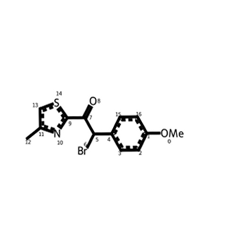 COc1ccc(C(Br)C(=O)c2nc(C)cs2)cc1